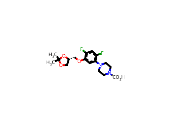 CC1(C)OC[C@@H](COc2cc(N3CCN(C(=O)O)CC3)c(F)cc2F)O1